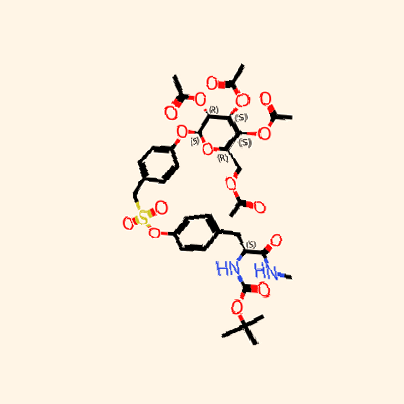 CNC(=O)[C@H](Cc1ccc(OS(=O)(=O)Cc2ccc(O[C@@H]3O[C@H](COC(C)=O)[C@H](OC(C)=O)[C@H](OC(C)=O)[C@H]3OC(C)=O)cc2)cc1)NC(=O)OC(C)(C)C